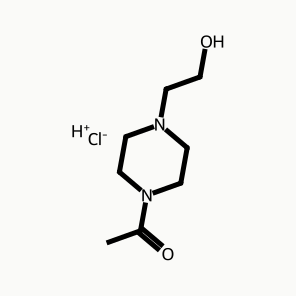 CC(=O)N1CCN(CCO)CC1.[Cl-].[H+]